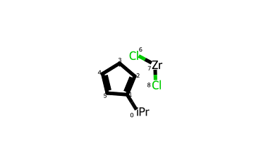 CC(C)C1=C[CH]C=C1.[Cl][Zr][Cl]